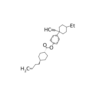 C#CC1(c2ccc(OC(=O)[C@H]3CC[C@H](CCC=C)CC3)cc2)CCC(CC)CC1